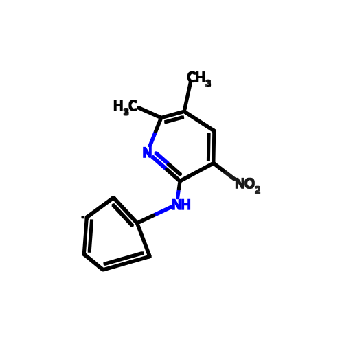 Cc1cc([N+](=O)[O-])c(Nc2c[c]ccc2)nc1C